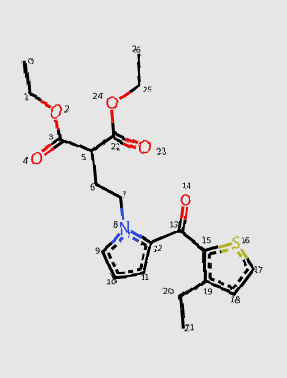 CCOC(=O)C(CCn1cccc1C(=O)c1sccc1CC)C(=O)OCC